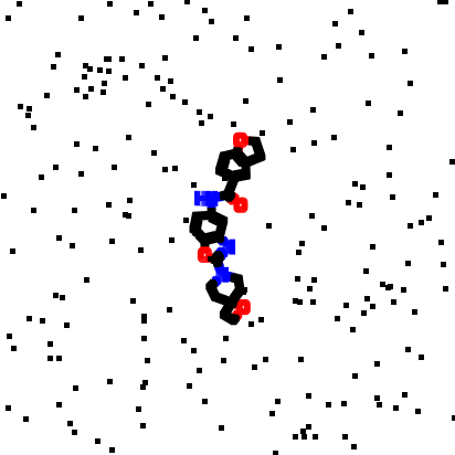 O=C(Nc1ccc2oc(N3CCC4(CCO4)CC3)nc2c1)c1ccc2c(c1)CCO2